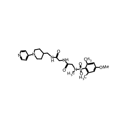 COc1cc(C)c(S(=O)(=O)N(C)CC(=O)NCC(=O)NCC2CCN(c3ccncc3)CC2)c(C)c1